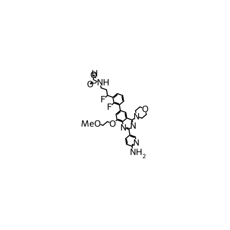 COCCOc1cc(-c2cccc(C(F)CCN[SH](=O)=O)c2F)cc2c(N3CCOCC3)nc(-c3ccc(N)nc3)nc12